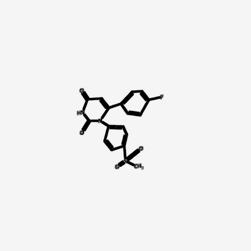 CS(=O)(=O)c1ccc(-n2c(-c3ccc(F)cc3)cc(=O)[nH]c2=O)cc1